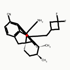 C[C@H]1CC[C@@]2(Cc3ccc(C#N)cc3[C@]23N=C(N)N(CC2CC(F)(F)C2)C3=O)C[C@@H]1C